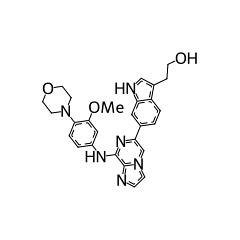 COc1cc(Nc2nc(-c3ccc4c(CCO)c[nH]c4c3)cn3ccnc23)ccc1N1CCOCC1